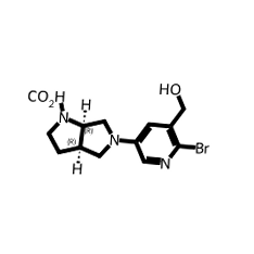 O=C(O)N1CC[C@@H]2CN(c3cnc(Br)c(CO)c3)C[C@@H]21